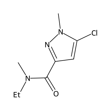 CCN(C)C(=O)c1cc(Cl)n(C)n1